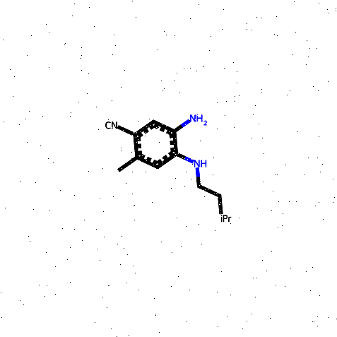 [C-]#[N+]c1cc(N)c(NCCC(C)C)cc1C